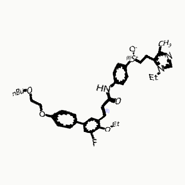 CCCCOCCOc1ccc(-c2cc(F)c(OCC)c(/C=C/C(=O)Nc3ccc([S@@+]([O-])CCc4c(C)ncn4CC)cc3)c2)cc1